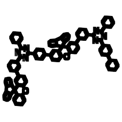 c1ccc(-c2ccc(-c3nc(-c4ccccc4)nc(-c4cccc(-c5ccc6c(c5)C5(c7cc(-c8ccc(-c9nc(-c%10ccccc%10)nc(-c%10cccc(-c%11ccc%12c(c%11)C%11(c%13ccccc%13O%12)c%12ccccc%12-c%12ccccc%12%11)c%10)n9)cc8)ccc7O6)c6ccccc6-c6ccccc65)c4)n3)cc2)cc1